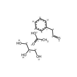 CC(=O)O.O=CCc1ccccc1.OCC(O)CO